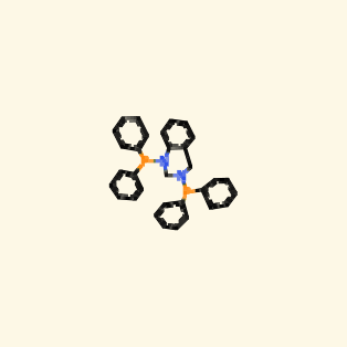 c1ccc(P(c2ccccc2)N2Cc3ccccc3N(P(c3ccccc3)c3ccccc3)C2)cc1